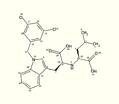 CC(C)C[C@H](N[C@@H](Cc1cn(Cc2cc(Cl)cc(Cl)c2)c2ccccc12)C(=O)O)C(=O)O